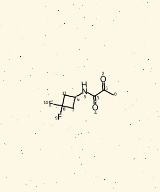 CC(=O)C(=O)NC1CC(F)(F)C1